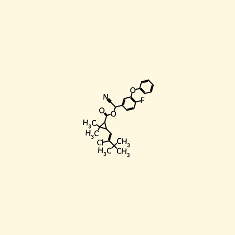 CC(C)(C)/C(Cl)=C/C1C(C(=O)OC(C#N)c2ccc(F)c(Oc3ccccc3)c2)C1(C)C